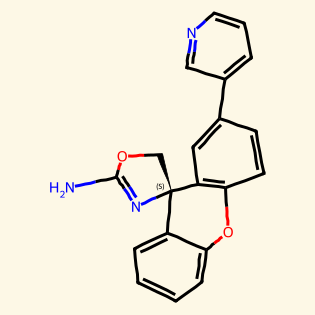 NC1=N[C@@]2(CO1)c1ccccc1Oc1ccc(-c3cccnc3)cc12